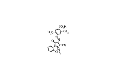 Cc1cc(S(=O)(=O)O)c(C)cc1N=Nc1c(C#N)[nH]n(-c2ccccc2C)c1=O